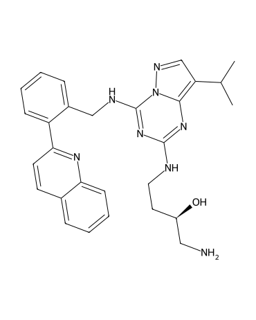 CC(C)c1cnn2c(NCc3ccccc3-c3ccc4ccccc4n3)nc(NCC[C@@H](O)CN)nc12